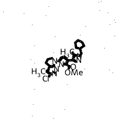 COC(=O)c1nc(N2CCCc3c2nnc(Cl)c3C)ccc1-c1cnn(CC2CCCCC2)c1C